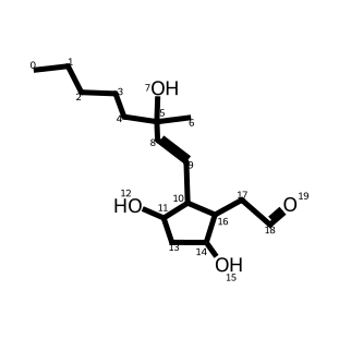 CCCCCC(C)(O)C=CC1C(O)CC(O)C1CC=O